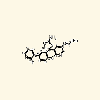 CC(C)(C)COc1cnc2c(c1)[C@@]1(COC(N)=N1)c1cc(-c3cccnc3F)ccc1O2